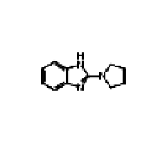 c1ccc2[nH]c(N3CCCC3)nc2c1